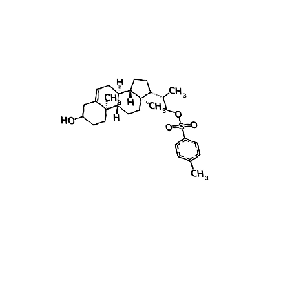 Cc1ccc(S(=O)(=O)OCC(C)[C@H]2CC[C@H]3[C@@H]4CC=C5CC(O)CC[C@]5(C)[C@H]4CC[C@]23C)cc1